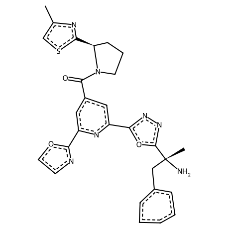 Cc1csc([C@H]2CCCN2C(=O)c2cc(-c3ncco3)nc(-c3nnc([C@](C)(N)Cc4ccccc4)o3)c2)n1